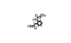 CC(C)(C)OC(=O)Nc1ccccc1CC([NH])=O